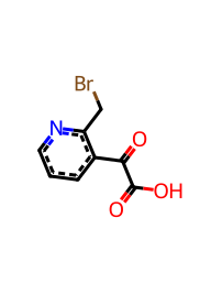 O=C(O)C(=O)c1cccnc1CBr